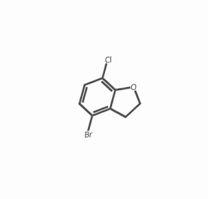 Clc1ccc(Br)c2c1OCC2